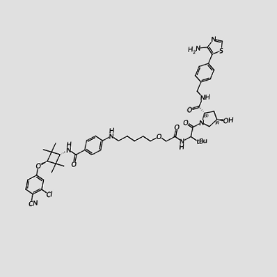 CC(C)(C)C(NC(=O)COCCCCCNc1ccc(C(=O)N[C@H]2C(C)(C)[C@H](Oc3ccc(C#N)c(Cl)c3)C2(C)C)cc1)C(=O)N1C[C@H](O)C[C@H]1C(=O)NCc1ccc(-c2scnc2N)cc1